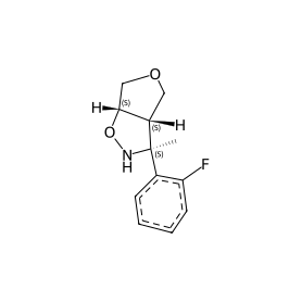 C[C@]1(c2ccccc2F)NO[C@@H]2COC[C@@H]21